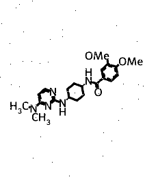 COc1ccc(C(=O)N[C@H]2CC[C@@H](Nc3nccc(N(C)C)n3)CC2)cc1OC